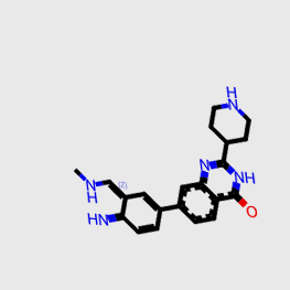 CN/C=C1/C=C(c2ccc3c(=O)[nH]c(C4CCNCC4)nc3c2)C=CC1=N